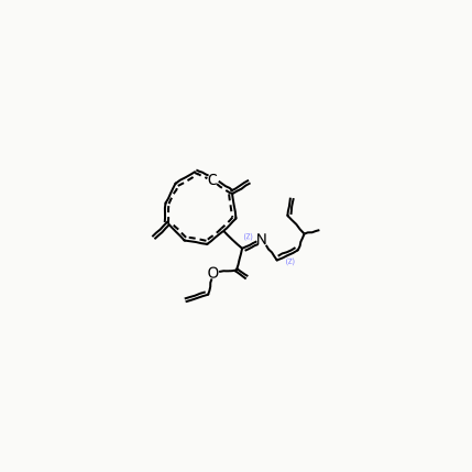 C=COC(=C)/C(=N\C=C/C(C)C=C)c1ccc(=C)ccccc(=C)c1